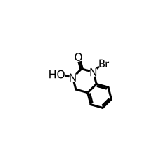 O=C1N(O)Cc2ccccc2N1Br